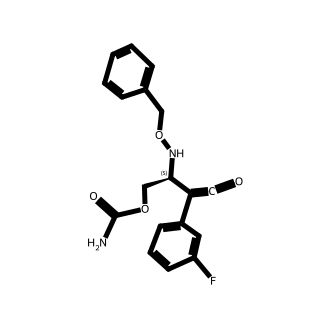 NC(=O)OC[C@@H](NOCc1ccccc1)C(=C=O)c1cccc(F)c1